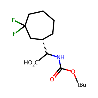 CC(C)(C)OC(=O)NC(C(=O)O)[C@H]1CCCCC(F)(F)C1